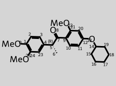 COc1ccc([C@@H](C)C(=O)c2ccc(OC3CCCCC3)cc2OC)cc1OC